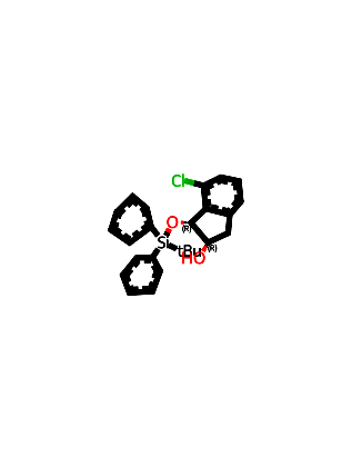 CC(C)(C)[Si](O[C@@H]1c2c(Cl)cccc2C[C@H]1O)(c1ccccc1)c1ccccc1